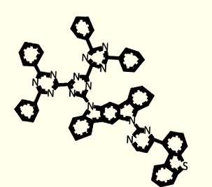 c1ccc(-c2nc(-c3ccccc3)nc(-c3nc(-c4nc(-c5ccccc5)nc(-c5ccccc5)n4)nc(-n4c5ccccc5c5cc6c(cc54)c4ccccc4n6-c4nccc(-c5cccc6sc7ccccc7c56)n4)n3)n2)cc1